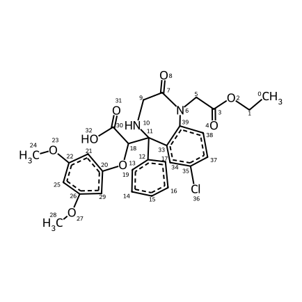 CCOC(=O)CN1C(=O)CNC(c2ccccc2)(C(Oc2cc(OC)cc(OC)c2)C(=O)O)c2cc(Cl)ccc21